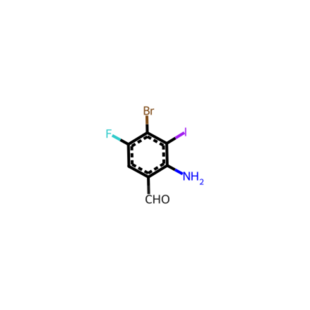 Nc1c(C=O)cc(F)c(Br)c1I